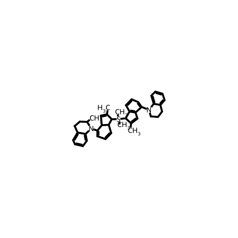 CC1=Cc2c(cccc2N2CCCc3ccccc32)C1S(C)(C)C1C(C)=CC2C(N3c4ccccc4CCC3C)=CC=CC21